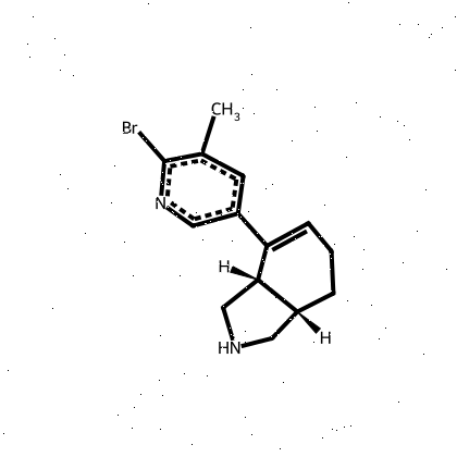 Cc1cc(C2=CCC[C@@H]3CNC[C@H]23)cnc1Br